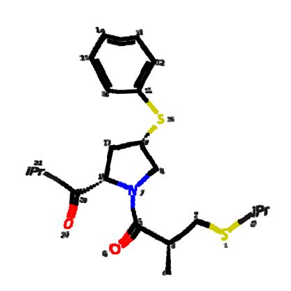 CC(C)SC[C@@H](C)C(=O)N1C[C@@H](Sc2ccccc2)C[C@H]1C(=O)C(C)C